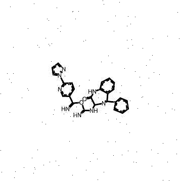 N=C(NC1N=C(c2ccccc2)c2ccccc2NC1=O)OC(=N)c1ccc(-n2cccn2)nc1